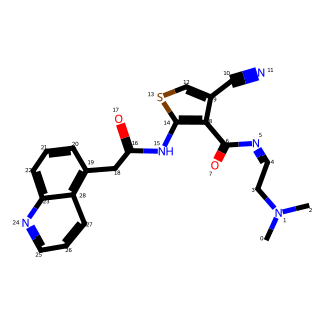 CN(C)C/C=N\C(=O)c1c(C#N)csc1NC(=O)Cc1cccc2ncccc12